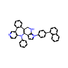 c1ccc(N2C3=C(CNc4c3ccn4-c3ccc(-c4cccc5ccccc45)cc3)c3ccccc3-c3cnccc32)cc1